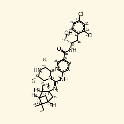 C[C@@H]1[C@@H](/N=C(/Nc2ccc(C(=O)N[C@H](CO)Cc3ccc(Cl)cc3Cl)cn2)N2C[C@@H](C)N[C@@H](C)C2)C[C@H]2C[C@@H]1C2(C)C